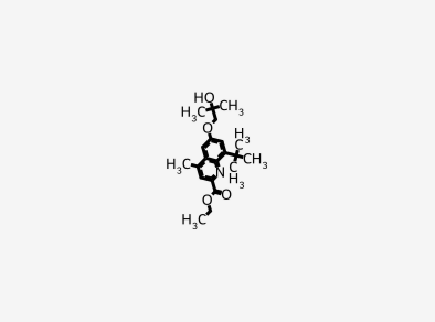 CCOC(=O)c1cc(C)c2cc(OCC(C)(C)O)cc(C(C)(C)C)c2n1